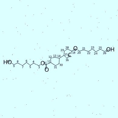 O=C(OCCCCCCCO)C1CCC(C2CCC(OCCCCCCCO)CC2)CC1